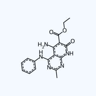 CCOC(=O)c1c(N)c2c(Nc3ccccc3)nc(C)nc2[nH]c1=O